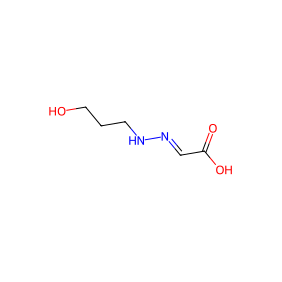 O=C(O)C=NNCCCO